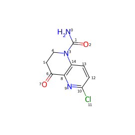 NC(=O)N1CCC(=O)c2nc(Cl)ccc21